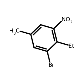 CCc1c(Br)cc(C)cc1[N+](=O)[O-]